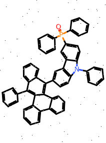 O=P(c1ccccc1)(c1ccccc1)c1ccc2c(c1)c1cc(-c3c4ccccc4c(-c4ccccc4)c4c5ccccc5c5ccccc5c34)ccc1n2-c1ccccc1